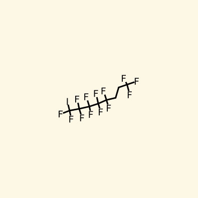 FC(F)(F)CCC(F)(F)C(F)(F)C(F)(F)C(F)(F)C(F)(F)I